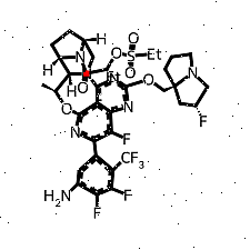 CC[C@@H](OS(=O)(=O)CC)C(=O)N1[C@@H]2CC[C@H]1[C@H]1[C@H](C)Oc3nc(-c4cc(N)c(F)c(F)c4C(F)(F)F)c(F)c4nc(OC[C@@]56CCCN5C[C@H](F)C6)nc(c34)N1C2